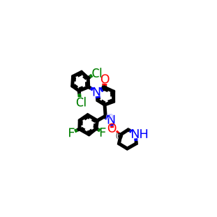 O=c1ccc(/C(=N/O[C@@H]2CCCNC2)c2ccc(F)cc2F)cn1-c1c(Cl)cccc1Cl